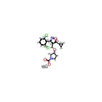 CC(C)(C)OC(=O)N1CCC(OCc2c(-c3c(Cl)cccc3Cl)noc2C2CC2)C1